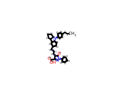 CCCc1ccc(N2c3ccc(/C=C/C=C4\C(=O)N(c5ccccc5)N=C4C(=O)O)cc3C3CCCC32)cc1